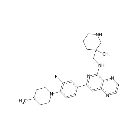 CN1CCN(c2ccc(-c3cc4nccnc4c(NCC4(C)CCCNC4)n3)cc2F)CC1